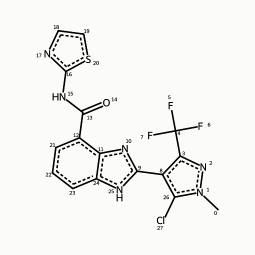 Cn1nc(C(F)(F)F)c(-c2nc3c(C(=O)Nc4nccs4)cccc3[nH]2)c1Cl